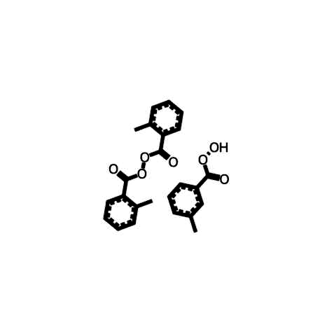 Cc1cccc(C(=O)OO)c1.Cc1ccccc1C(=O)OOC(=O)c1ccccc1C